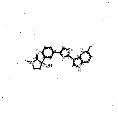 Cc1ccc2[nH]cc(-c3nc(-c4cccc([C@]5(O)CCN(C)C5=O)c4)cs3)c2n1